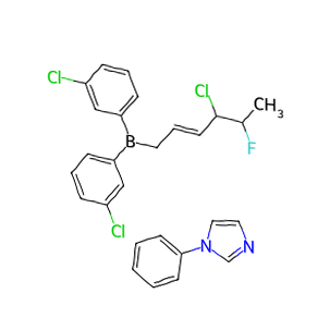 CC(F)C(Cl)C=CCB(c1cccc(Cl)c1)c1cccc(Cl)c1.c1ccc(-n2ccnc2)cc1